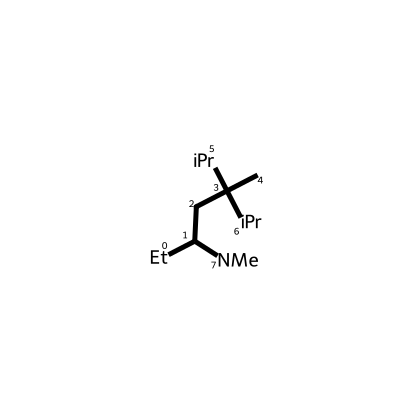 CCC(CC(C)(C(C)C)C(C)C)NC